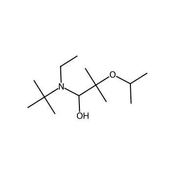 CCN(C(O)C(C)(C)OC(C)C)C(C)(C)C